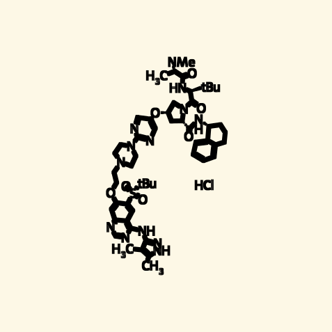 CN[C@@H](C)C(=O)N[C@H](C(=O)N1C[C@@H](Oc2cnc(N3CCN(CCOc4cc5ncnc(Nc6n[nH]c(C)c6C)c5cc4S(=O)(=O)C(C)(C)C)CC3)nc2)C[C@H]1C(=O)N[C@@H]1CCCc2ccccc21)C(C)(C)C.Cl